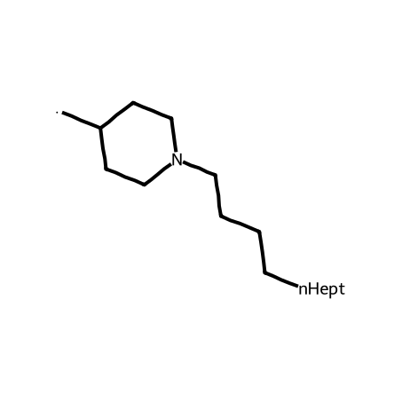 [CH2]C1CCN(CCCCCCCCCCC)CC1